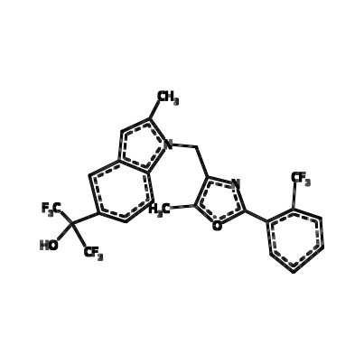 Cc1oc(-c2ccccc2C(F)(F)F)nc1Cn1c(C)cc2cc(C(O)(C(F)(F)F)C(F)(F)F)ccc21